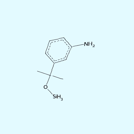 CC(C)(O[SiH3])c1cccc(N)c1